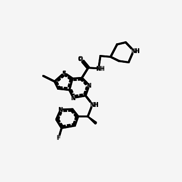 Cc1cc2nc(N[C@@H](C)c3cncc(F)c3)nc(C(=O)NCC3CCNCC3)c2s1